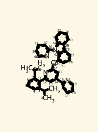 CC(C)c1cccc(C(C)C)c1-c1cc(-c2ccccn2)cc(Oc2cccc3c4ccccc4n(-c4ccccn4)c23)n1